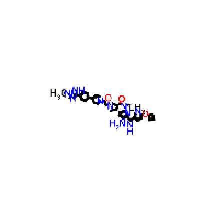 CCN(C(=O)[C@@H]1CCN(CC(=O)N2CC=C(c3ccc(C(=N)/N=C\NC)cc3)CC2)C1)c1ccc(N)c(C(=N)c2ccc(OC3CCC3)nc2)n1